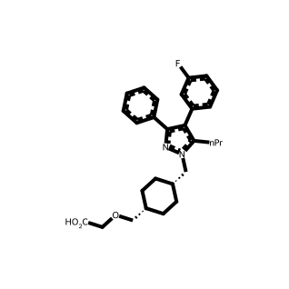 CCCc1c(-c2cccc(F)c2)c(-c2ccccc2)nn1C[C@H]1CC[C@@H](COCC(=O)O)CC1